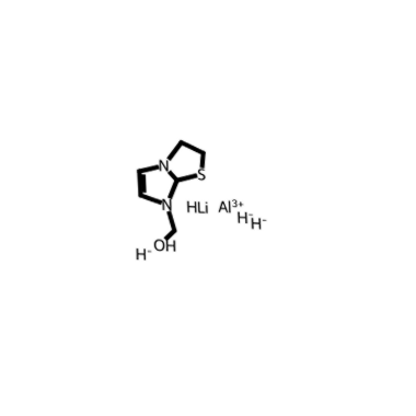 OCN1C=CN2CCSC12.[Al+3].[H-].[H-].[H-].[LiH]